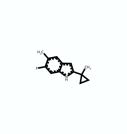 Cc1cc2cc(C3(C)CC3)[nH]c2cc1F